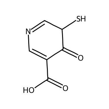 O=C(O)C1=CN=CC(S)C1=O